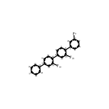 Fc1cccc(-c2ccc(-c3ccc(-c4ccccc4)cc3F)cc2F)c1